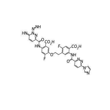 N=Nn1nc(C(=O)Nc2cc(F)c(OCCc3cc(NC(=O)c4ccc(-n5ccnc5)nn4)c(C(=O)O)cc3F)cc2C(=O)O)ccc1=N